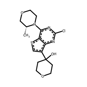 C[C@@H]1COCCN1c1nc(Cl)nc2c(C3(O)CCOCC3)csc12